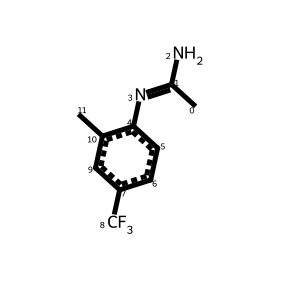 C/C(N)=N\c1ccc(C(F)(F)F)cc1C